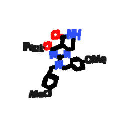 CCCC(C)Oc1nc(N(Cc2ccc(OC)cc2)Cc2ccc(OC)cc2)nc2cc[nH]c(=O)c12